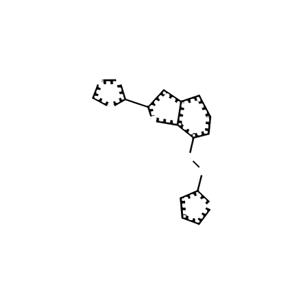 c1csc(SNc2cccc3cc(-c4ncns4)[nH]c23)c1